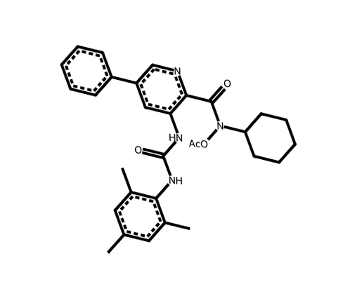 CC(=O)ON(C(=O)c1ncc(-c2ccccc2)cc1NC(=O)Nc1c(C)cc(C)cc1C)C1CCCCC1